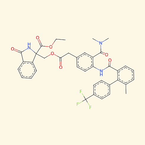 CCOC(=O)C1(COC(=O)Cc2ccc(NC(=O)c3cccc(C)c3-c3ccc(C(F)(F)F)cc3)c(C(=O)N(C)C)c2)NC(=O)c2ccccc21